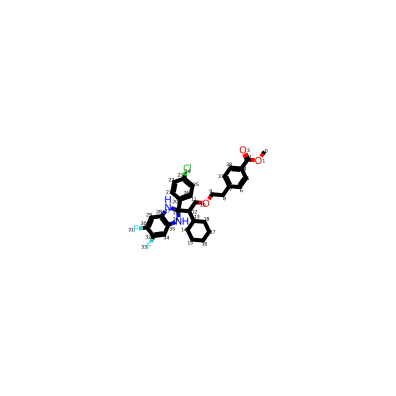 COC(=O)c1ccc(CCOCC(C2CCCCC2)C2(c3ccc(Cl)cc3)Nc3cc(F)c(F)cc3N2)cc1